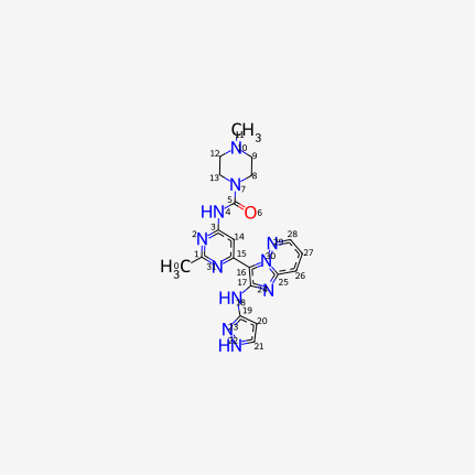 Cc1nc(NC(=O)N2CCN(C)CC2)cc(-c2c(Nc3cc[nH]n3)nc3cccnn23)n1